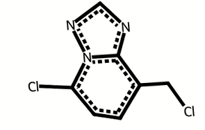 ClCc1ccc(Cl)n2ncnc12